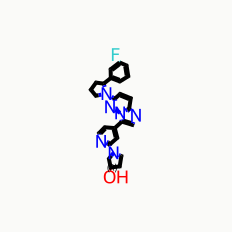 O[C@@H]1CCN(c2cc(-c3cnc4ccc(N5CCCC5c5cccc(F)c5)nn34)ccn2)C1